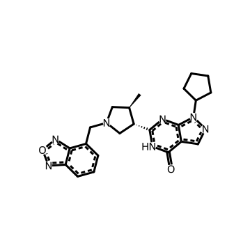 C[C@@H]1CN(Cc2cccc3nonc23)C[C@H]1c1nc2c(cnn2C2CCCC2)c(=O)[nH]1